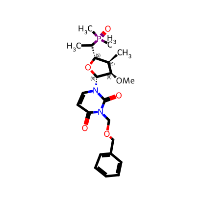 CO[C@@H]1[C@H](C)[C@@H](C(C)P(C)(C)=O)O[C@H]1n1ccc(=O)n(COCc2ccccc2)c1=O